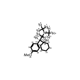 [2H]C([2H])([2H])N(C([2H])([2H])[2H])C([2H])([2H])[C@]([2H])(c1ccc(OC)cc1)C1(O)CCCCC1